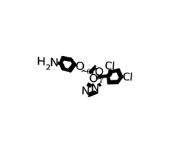 Nc1ccc(OC[C@@H]2CO[C@@](Cn3ccnc3)(c3ccc(Cl)cc3Cl)O2)cc1